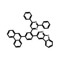 c1ccc(-c2cc(-c3cc(-c4cc5ccccc5c5ccccc45)ccc3-c3cnc4sc5ccccc5c4c3)nc(-c3ccccc3)n2)cc1